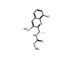 C[C@H](NC(=O)OC(C)(C)C)c1nc2c(Cl)cccc2cc1C(=O)O